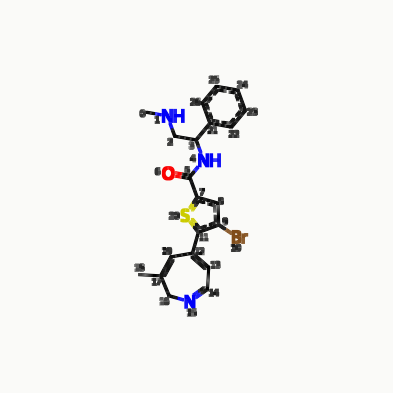 CNCC(NC(=O)c1cc(Br)c(C2=CC=NCC(C)=C2)s1)c1ccccc1